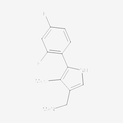 CNCc1c[nH]c(-c2ccc(F)cc2F)c1OC